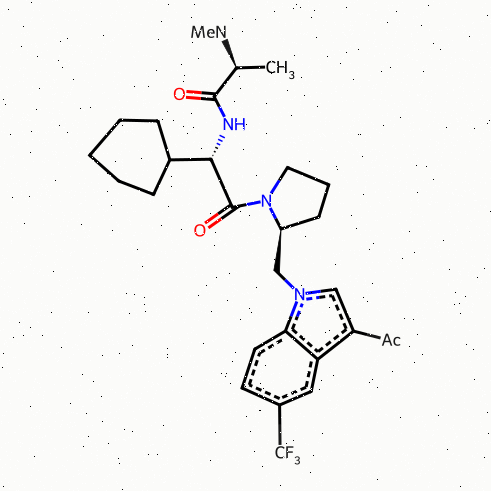 CN[C@@H](C)C(=O)N[C@H](C(=O)N1CCC[C@H]1Cn1cc(C(C)=O)c2cc(C(F)(F)F)ccc21)C1CCCCC1